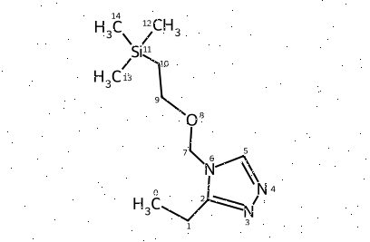 CCc1nncn1COCC[Si](C)(C)C